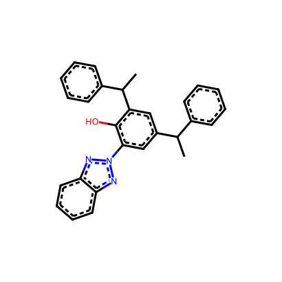 CC(c1ccccc1)c1cc(C(C)c2ccccc2)c(O)c(-n2nc3ccccc3n2)c1